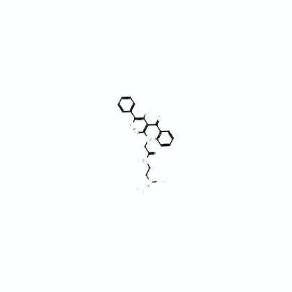 CN(C)CCNC(=O)CNc1nnc(-c2ccccc2)c(Cl)c1C(=N)c1ccccc1